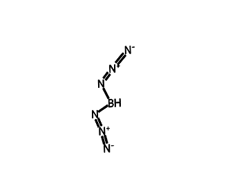 [N-]=[N+]=NBN=[N+]=[N-]